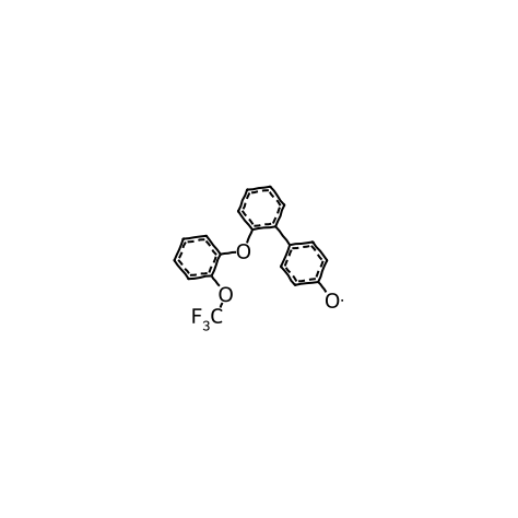 [O]c1ccc(-c2ccccc2Oc2ccccc2OC(F)(F)F)cc1